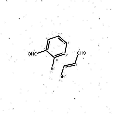 CCCC=CC=O.O=Cc1ccccc1Br